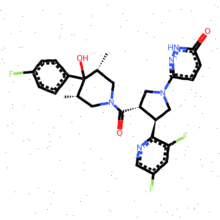 C[C@@H]1CN(C(=O)[C@@H]2CN(c3ccc(=O)[nH]n3)C[C@H]2c2ncc(F)cc2F)C[C@H](C)C1(O)c1ccc(F)cc1